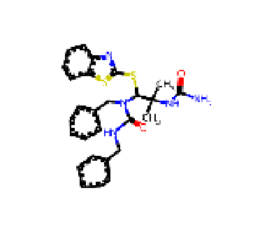 CC(C)(NC(N)=O)C(Sc1nc2ccccc2s1)N(Cc1ccccc1)C(=O)NCc1ccccc1